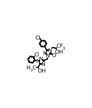 CC(O)c1nc(Cn2nc(-c3ccc(Cl)cc3)n(CC(O)C(F)(F)F)c2=O)nn1-c1ccccc1Cl